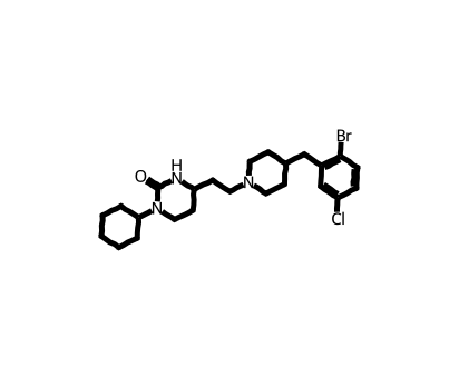 O=C1NC(CCN2CCC(Cc3cc(Cl)ccc3Br)CC2)CCN1C1CCCCC1